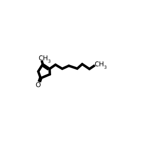 CCCCCCCC1=C(C)CC(=O)C1